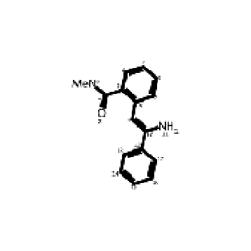 CNC(=O)c1[c]cccc1C=C(N)c1ccccc1